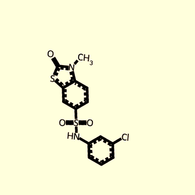 Cn1c(=O)sc2cc(S(=O)(=O)Nc3cccc(Cl)c3)ccc21